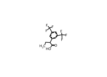 CCC(C(=O)O)c1cc(C(F)(F)F)cc(C(F)(F)F)c1